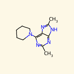 Cc1nc(N2CCCCC2)c2nc(C)[nH]c2n1